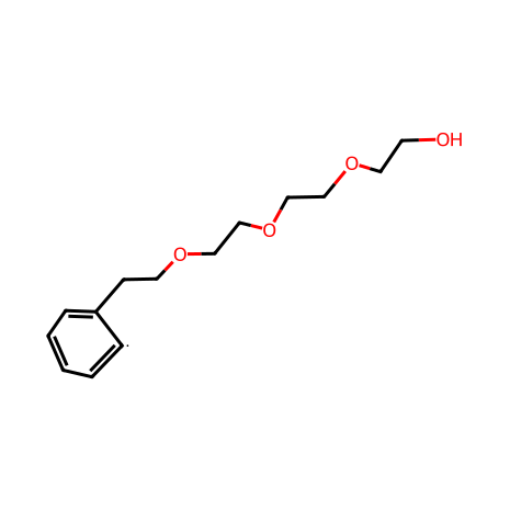 OCCOCCOCCOCCc1[c]cccc1